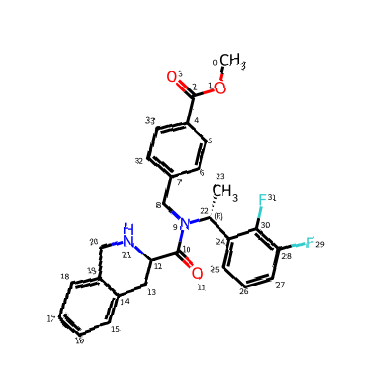 COC(=O)c1ccc(CN(C(=O)C2Cc3ccccc3CN2)[C@H](C)c2cccc(F)c2F)cc1